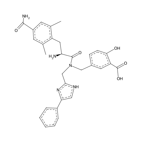 Cc1cc(C(N)=O)cc(C)c1C[C@H](N)C(=O)N(Cc1ccc(O)c(C(=O)O)c1)Cc1nc(-c2ccccc2)c[nH]1